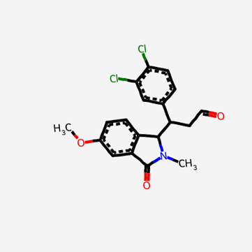 COc1ccc2c(c1)C(=O)N(C)C2C(CC=O)c1ccc(Cl)c(Cl)c1